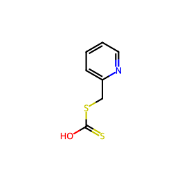 OC(=S)SCc1ccccn1